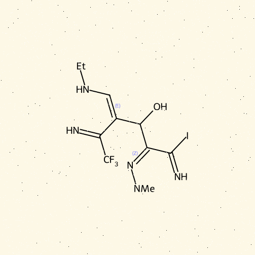 CCN/C=C(\C(=N)C(F)(F)F)C(O)/C(=N/NC)C(=N)I